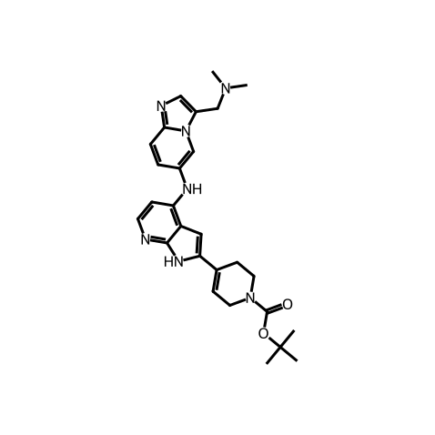 CN(C)Cc1cnc2ccc(Nc3ccnc4[nH]c(C5=CCN(C(=O)OC(C)(C)C)CC5)cc34)cn12